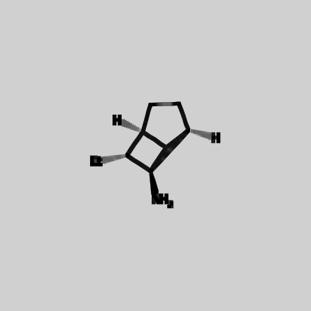 CC[C@@H]1[C@H]2CC[C@@H]3C2[C@]31N